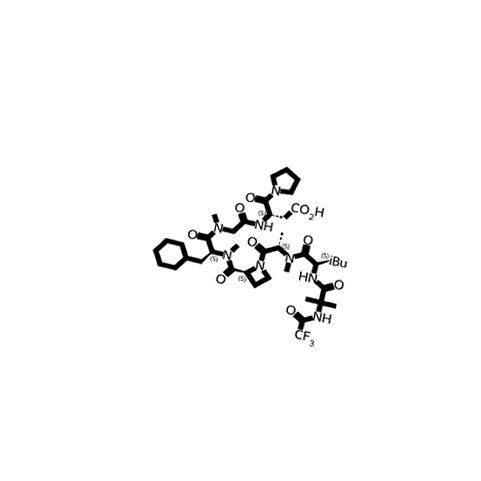 CC[C@H](C)C(NC(=O)C(C)(C)NC(=O)C(F)(F)F)C(=O)N(C)[C@@H](C)C(=O)N1CC[C@H]1C(=O)N(C)[C@@H](CC1CCCCC1)C(=O)N(C)CC(=O)N[C@@H](CC(=O)O)C(=O)N1CCCC1